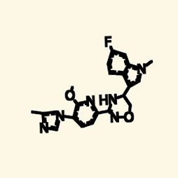 COc1nc(C2=NOCC(c3cn(C)c4cc(F)ccc34)N2)ccc1-n1cnc(C)c1